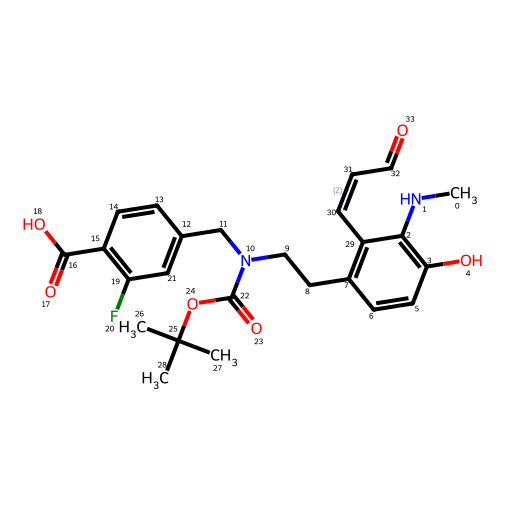 CNc1c(O)ccc(CCN(Cc2ccc(C(=O)O)c(F)c2)C(=O)OC(C)(C)C)c1/C=C\C=O